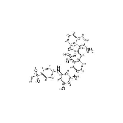 C=CS(=O)(=O)c1ccc(Nc2nc(Cl)nc(Nc3ccc(/N=N/c4c(N)ccc5cccc(O)c45)c(S(=O)(=O)O)c3)n2)cc1